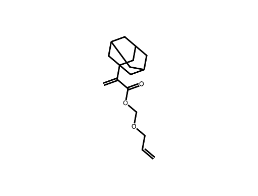 C=CCOCOC(=O)C(=C)C12CC3CC(CC(C3)C1)C2